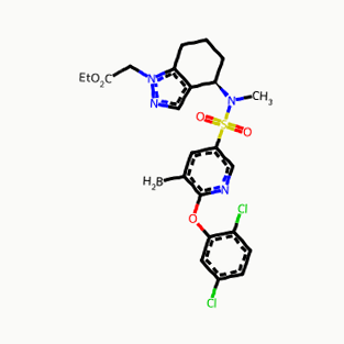 Bc1cc(S(=O)(=O)N(C)[C@@H]2CCCc3c2cnn3CC(=O)OCC)cnc1Oc1cc(Cl)ccc1Cl